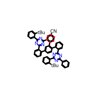 CC(C)(C)c1ccccc1-c1nc(-c2ccccc2)nc(-c2ccccc2-c2ccc(-c3ccccc3-c3nc(-c4ccccc4)nc(-c4ccccc4C(C)(C)C)n3)c(-c3ccc(C#N)cc3)c2)n1